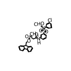 CN(CC(=O)Nc1cccc(S(=O)(=O)N(CC=O)c2cccc(Cl)c2)c1)C(=O)OCC1c2ccccc2-c2ccccc21